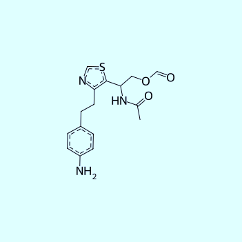 CC(=O)NC(COC=O)c1scnc1CCc1ccc(N)cc1